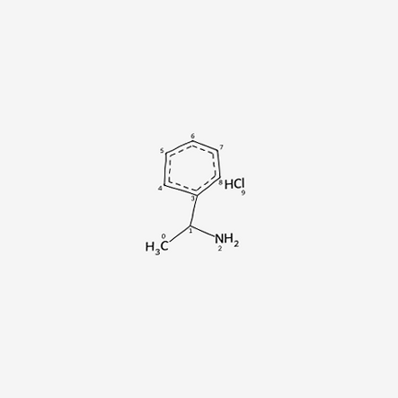 CC(N)c1ccccc1.Cl